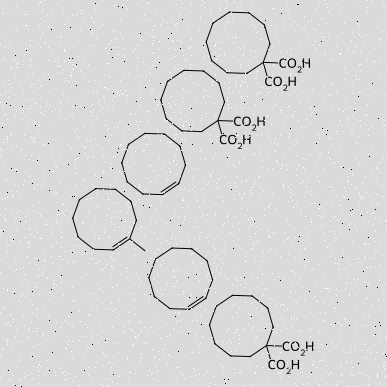 C/C1=C/CCCCCCCC1.C1=C\CCCCCCCC/1.C1=C\CCCCCCCC/1.O=C(O)C1(C(=O)O)CCCCCCCCC1.O=C(O)C1(C(=O)O)CCCCCCCCC1.O=C(O)C1(C(=O)O)CCCCCCCCC1